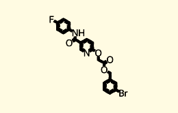 O=C(COc1ccc(C(=O)Nc2ccc(F)cc2)cn1)OCc1cccc(Br)c1